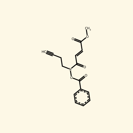 C#CCCN(OC(=O)c1ccccc1)C(=O)/C=C/C(=O)OC